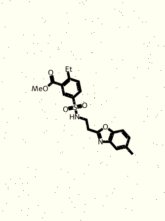 CCc1ccc(S(=O)(=O)NCCc2nc3cc(C)ccc3o2)cc1C(=O)OC